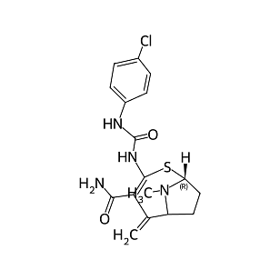 C=C1C(C(N)=O)=C(NC(=O)Nc2ccc(Cl)cc2)S[C@@H]2CCC1N2C